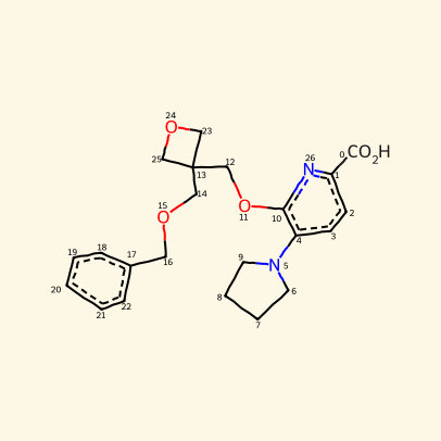 O=C(O)c1ccc(N2CCCC2)c(OCC2(COCc3ccccc3)COC2)n1